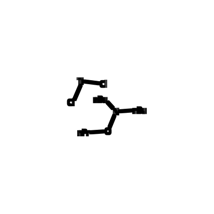 CCCCN(CCCC)OCCC.[Cl][Ti][Cl]